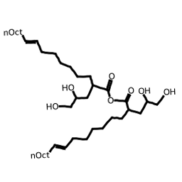 CCCCCCCCC=CCCCCCCC(CC(O)CO)C(=O)OC(=O)C(CCCCCCC=CCCCCCCCC)CC(O)CO